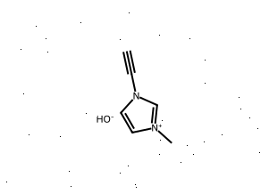 C#Cn1cc[n+](C)c1.[OH-]